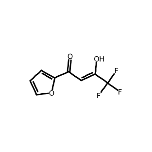 O=C(/C=C(\O)C(F)(F)F)c1ccco1